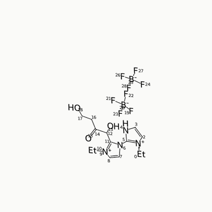 CC[n+]1cc[nH]c1-n1cc[n+](CC)c1C(O)C(=O)CCO.F[B-](F)(F)F.F[B-](F)(F)F